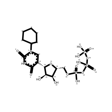 O=c1[nH]c(=O)n(C2CCCCC2)cc1[C@@H]1O[C@H](COP(=O)(O)OP(=O)(O)OP(=O)(O)O)[C@@H](O)[C@H]1O